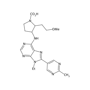 CCn1c(-c2cnc(C)nc2)nc2c(NC3CCN(C(=O)O)C3CCOC)ncnc21